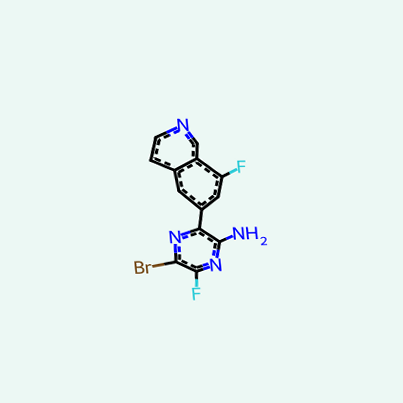 Nc1nc(F)c(Br)nc1-c1cc(F)c2cnccc2c1